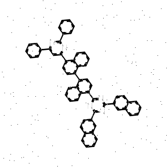 c1ccc(-c2cc(-c3ccc(-c4ccc(-c5nc(-c6ccc7ccccc7c6)nc(-c6ccc7ccccc7c6)n5)c5ccccc45)c4ccccc34)nc(-c3ccccc3)n2)cc1